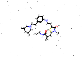 CCN1C(=O)C(CCNc2cccc(CCN3CC(C)CC(C)C3)c2)SC1CC(C#N)C(=O)NCC#N